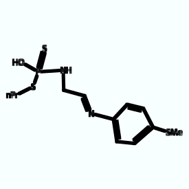 CCCSP(O)(=S)NCC=Nc1ccc(SC)cc1